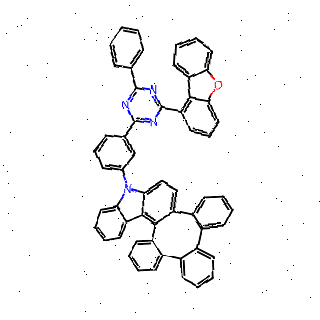 c1ccc(-c2nc(-c3cccc(-n4c5ccccc5c5c6c(ccc54)-c4ccccc4-c4ccccc4-c4ccccc4-6)c3)nc(-c3cccc4oc5ccccc5c34)n2)cc1